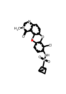 Cn1cnc2ccc(Oc3c(F)ccc(NS(=O)(=O)N4CC5CC4C5)c3Cl)c(F)c2c1=O